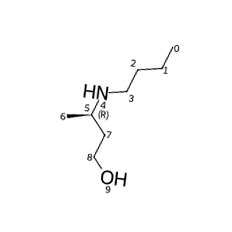 CCCCN[C@H](C)CCO